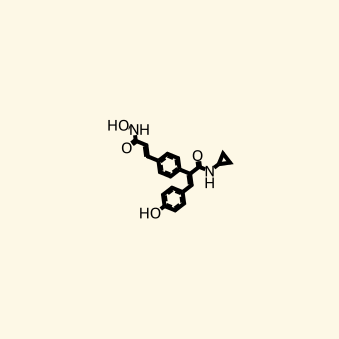 O=C(/C=C/c1ccc(/C(=C\c2ccc(O)cc2)C(=O)NC2CC2)cc1)NO